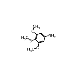 COc1cc(N)cc(OC)c1SC